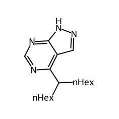 CCCCCCC(CCCCCC)c1ncnc2[nH]ncc12